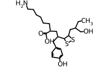 CCC(CO)CC1SSC1C(Cc1ccc(O)cc1)CC(CCCCCCN)C(=O)O